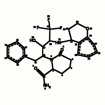 NC(=O)C1CCCC(=O)N1C(Cc1ccccc1)C(O)C(NC1CCOc2ccccc21)C(F)(F)F